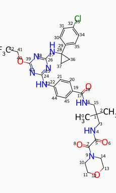 CC(C)(CNC(=O)C(=O)N1CCOCC1)CNC(=O)c1ccc(Nc2nc(NC3(c4ccc(Cl)cc4)CC3)nc(OCC(F)(F)F)n2)cc1